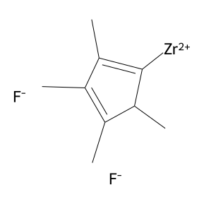 CC1=C(C)C(C)[C]([Zr+2])=C1C.[F-].[F-]